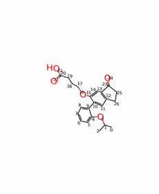 CC(C)Oc1ccccc1-c1cc2c(cc1OCCCC(=O)O)C(=O)CC2